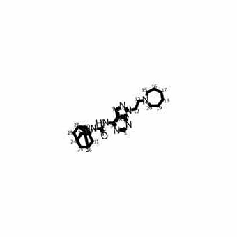 O=C(Nc1ncnc2c1cnn2CCN1CCCCCC1)NC12CC3CC(CC(C3)C1)C2